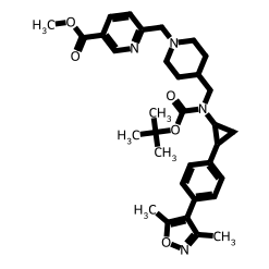 COC(=O)c1ccc(CN2CCC(CN(C(=O)OC(C)(C)C)C3CC3c3ccc(-c4c(C)noc4C)cc3)CC2)nc1